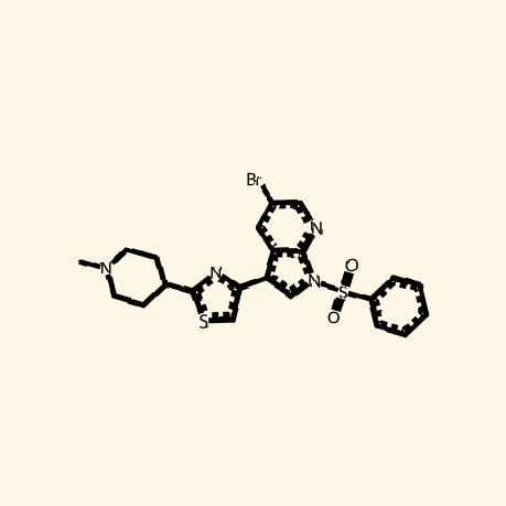 CN1CCC(c2nc(-c3cn(S(=O)(=O)c4ccccc4)c4ncc(Br)cc34)cs2)CC1